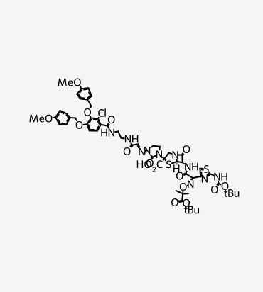 COc1ccc(COc2ccc(C(=O)NCCNC(=O)/C=N/N3CCN([C@]4(C(=O)O)CN5C(=O)[C@@H](NC(=O)/C(=N\OC(C)(C)C(=O)OC(C)(C)C)c6csc(NC(=O)OC(C)(C)C)n6)[C@H]5S4)C3=O)c(Cl)c2OCc2ccc(OC)cc2)cc1